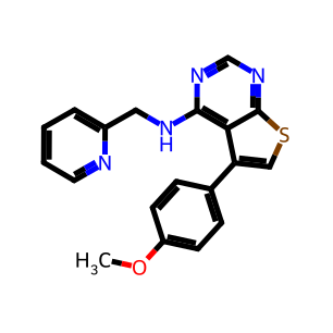 COc1ccc(-c2csc3ncnc(NCc4ccccn4)c23)cc1